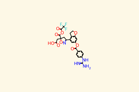 N=C(N)Nc1ccc(C(=O)Oc2cc3c(c(C4=NOC(CC(=O)O)(C(=O)OC(=O)C(F)(F)F)C4)c2)CCO3)cc1